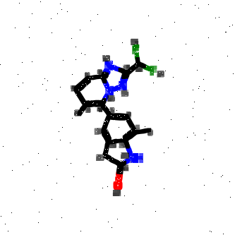 Cc1cc(-c2c(C)ccc3nc(C(F)F)nn23)cc2c1NC(=O)C2